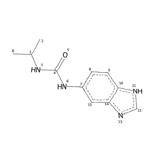 CC(C)NC(=O)Nc1ccc2[nH]cnc2c1